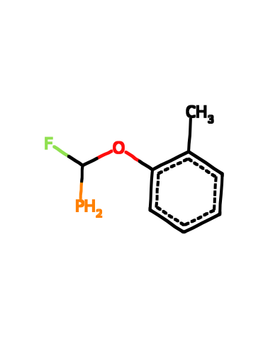 Cc1ccccc1OC(F)P